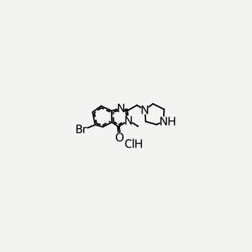 Cl.Cn1c(CN2CCNCC2)nc2ccc(Br)cc2c1=O